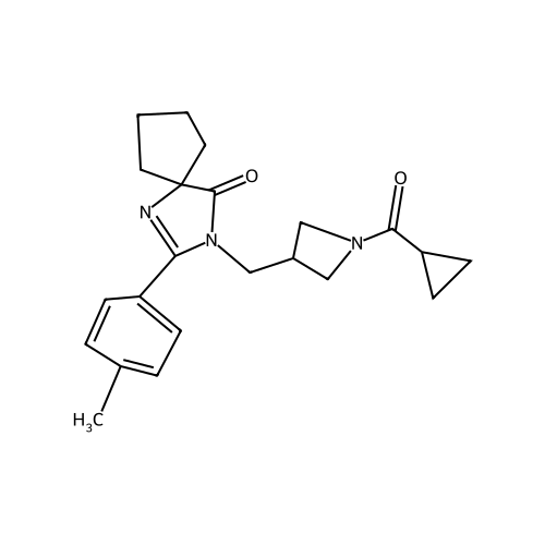 Cc1ccc(C2=NC3(CCCC3)C(=O)N2CC2CN(C(=O)C3CC3)C2)cc1